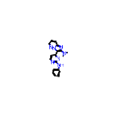 CN(C)c1nc2cccnn2c1-c1ccnc(Nc2ccccc2)n1